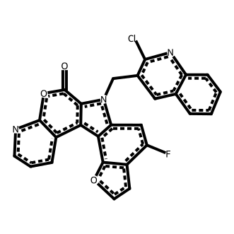 O=c1oc2ncccc2c2c3c4occc4c(F)cc3n(Cc3cc4ccccc4nc3Cl)c12